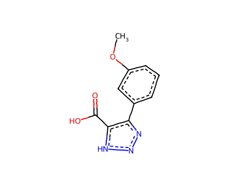 COc1cccc(-c2nn[nH]c2C(=O)O)c1